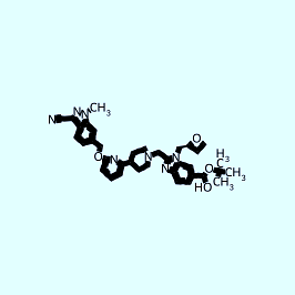 Cn1nc(C#N)c2ccc(COc3cccc(C4CCN(Cc5nc6ccc(C(O)OC(C)(C)C)cc6n5C[C@@H]5CCO5)CC4)n3)cc21